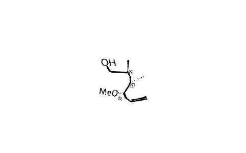 C=C[C@H](OC)[C@@H](C)[C@H](C)CO